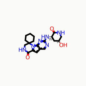 O=C1NCC2(CCCCC2)n2c1cc1cnc(N[C@H]3C[C@@H](O)CNC3=O)nc12